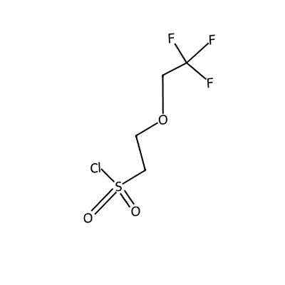 O=S(=O)(Cl)CCOCC(F)(F)F